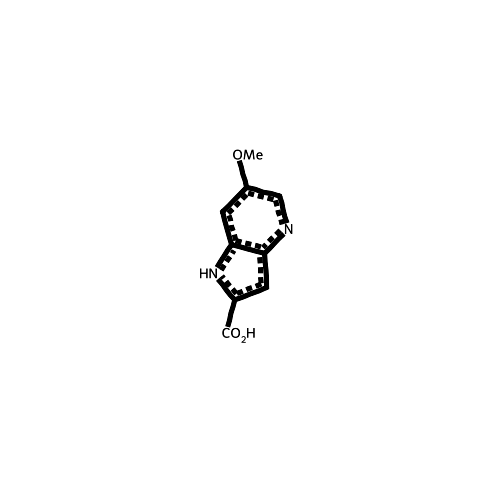 COc1cnc2cc(C(=O)O)[nH]c2c1